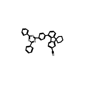 N#Cc1ccc2c(c1)C1(CCCCC1)c1cccc(-c3ccc(-c4nc(-c5ccccc5)nc(-c5ccccc5)n4)cc3)c1-2